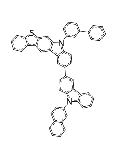 c1ccc(-c2cccc(-n3c4ccc(-c5ccc6c(c5)c5ccccc5n6-c5ccc6ccccc6c5)cc4c4cc5c(cc43)sc3ccccc35)c2)cc1